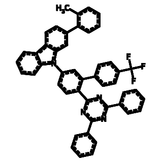 Cc1ccccc1-c1ccc2c3ccccc3n(-c3ccc(-c4nc(-c5ccccc5)nc(-c5ccccc5)n4)c(-c4ccc(C(F)(F)F)cc4)c3)c2c1